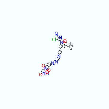 CC1(C)C(=O)N(c2cnc(C#N)c(Cl)c2)c2ccc(-c3ccc(N4CC(CN5CCN(c6ccc7c(c6)C(=O)N(C6CCC(=O)NC6=O)C7=O)CC5)C4)cc3)cc21